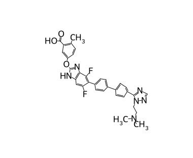 Cc1ccc(Oc2nc3c(F)c(-c4ccc(-c5ccc(-c6ncnn6CCN(C)C)cc5)cc4)c(F)cc3[nH]2)cc1C(=O)O